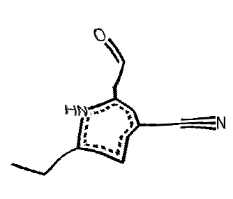 CCc1cc(C#N)c(C=O)[nH]1